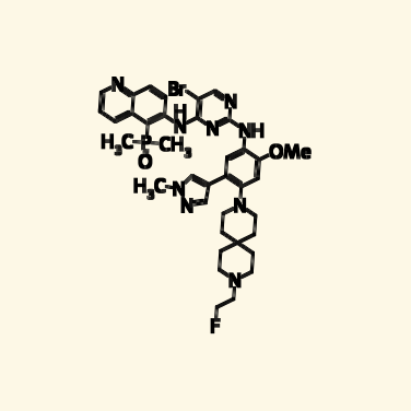 COc1cc(N2CCC3(CCN(CCF)CC3)CC2)c(-c2cnn(C)c2)cc1Nc1ncc(Br)c(Nc2ccc3ncccc3c2P(C)(C)=O)n1